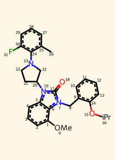 COc1cccc2c1n(Cc1ccccc1OC(C)C)c(=O)n2C1CCN(c2c(C)cccc2F)C1